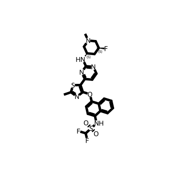 Cc1nc(Oc2ccc(NS(=O)(=O)C(F)F)c3ccccc23)c(-c2ccnc(N[C@H]3C[C@H](F)CN(C)C3)n2)s1